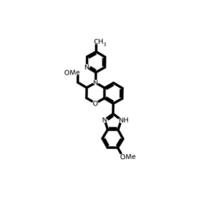 COCC1COc2c(-c3nc4ccc(OC)cc4[nH]3)cccc2N1c1ccc(C)cn1